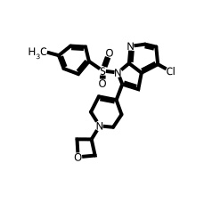 Cc1ccc(S(=O)(=O)n2c(C3=CCN(C4COC4)CC3)cc3c(Cl)ccnc32)cc1